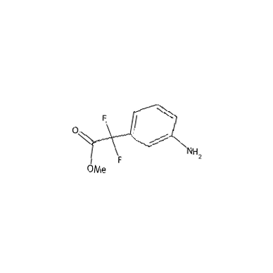 COC(=O)C(F)(F)c1cccc(N)c1